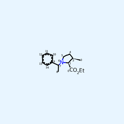 CCOC(=O)[C@@H]1[C@H](C)CCN1C(C)c1ccccc1